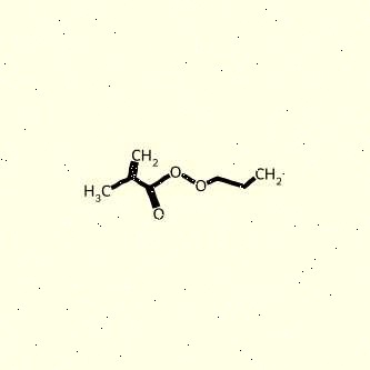 [CH2]CCOOC(=O)C(=C)C